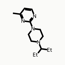 CCC(CC)N1CCN(c2nccc(C)n2)CC1